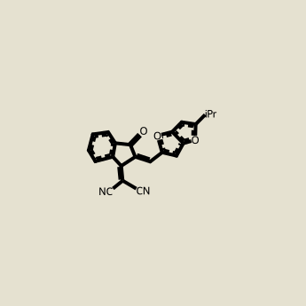 CC(C)c1cc2oc(/C=C3\C(=O)c4ccccc4C3=C(C#N)C#N)cc2o1